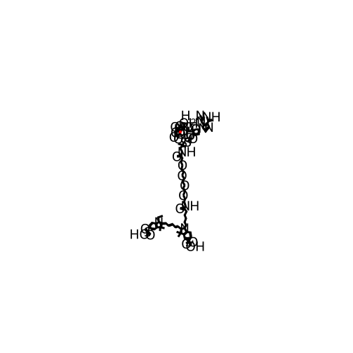 C=C1NC(N)=Nc2c1ncn2[C@H]1C[C@@H](OCSSC(C)(C)CNC(=O)CCOCCOCCOCCOCCNC(=O)CCCCCN2c3ccc(S(=O)(=O)O)cc3C(C)(C)C2/C=C/C=C/C=C2/N(CC)c3ccc(S(=O)(=O)O)cc3C2(C)C)[C@@H](COP(=O)(O)OP(=O)(O)OP(=O)(O)O)O1